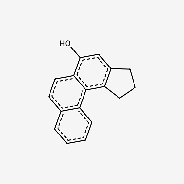 Oc1cc2c(c3c1ccc1ccccc13)CCC2